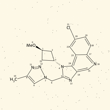 CO[C@H]1C[C@H](n2c(Cn3cc(C)nn3)nc3cnc4ccc(Cl)cc4c32)C1